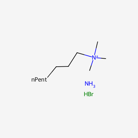 Br.CCCCCCCC[N+](C)(C)C.N